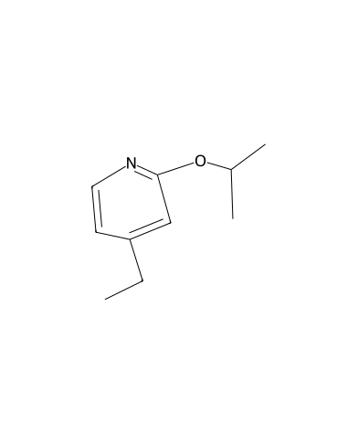 CCc1ccnc(OC(C)C)c1